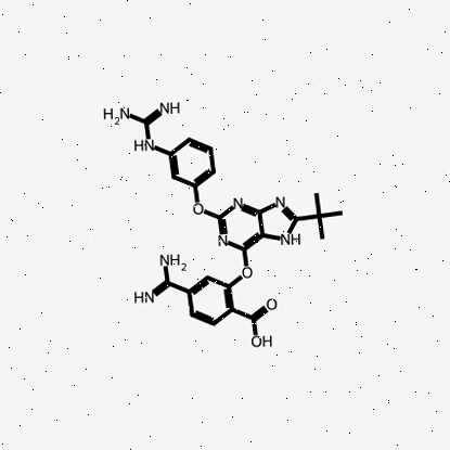 CC(C)(C)c1nc2nc(Oc3cccc(NC(=N)N)c3)nc(Oc3cc(C(=N)N)ccc3C(=O)O)c2[nH]1